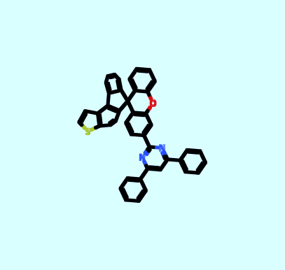 c1ccc(-c2cc(-c3ccccc3)nc(-c3ccc4c(c3)Oc3ccccc3C43c4ccccc4-c4c3ccc3sccc43)n2)cc1